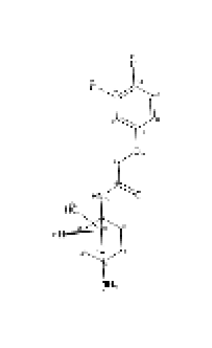 NC12CCC(NC(=O)COc3ccc(Cl)c(Cl)c3)(CC1)[C@@H](O)C2